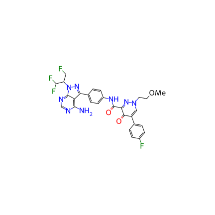 COCCn1cc(-c2ccc(F)cc2)c(=O)c(C(=O)Nc2ccc(-c3nn(C(CF)C(F)F)c4ncnc(N)c34)cc2)n1